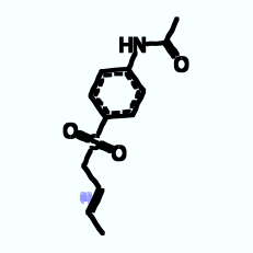 C/C=C/CS(=O)(=O)c1ccc(NC(C)=O)cc1